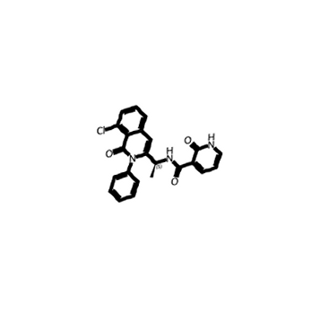 C[C@H](NC(=O)c1ccc[nH]c1=O)c1cc2cccc(Cl)c2c(=O)n1-c1ccccc1